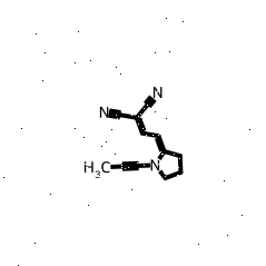 CC#CN1CCC/C1=C/C=C(C#N)C#N